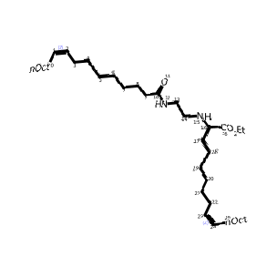 CCCCCCCC/C=C\CCCCCCCC(=O)NCCNC(CCCCCC/C=C\CCCCCCCC)C(=O)OCC